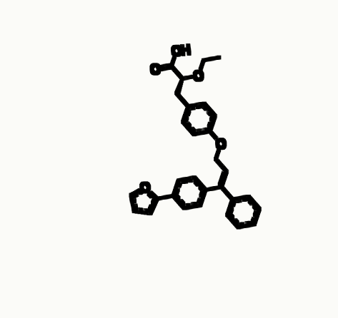 CCO[C@@H](Cc1ccc(OC/C=C(/c2ccccc2)c2ccc(-c3ccco3)cc2)cc1)C(=O)O